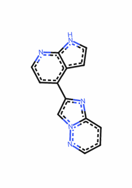 c1cnn2cc(-c3ccnc4[nH]ccc34)nc2c1